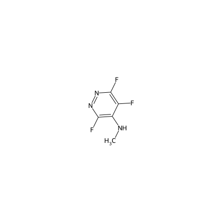 CNc1c(F)nnc(F)c1F